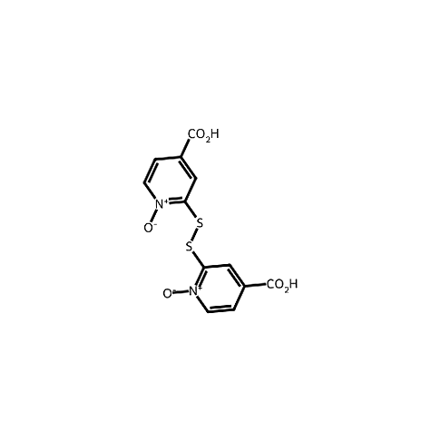 O=C(O)c1cc[n+]([O-])c(SSc2cc(C(=O)O)cc[n+]2[O-])c1